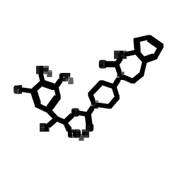 CCC(c1cc(Cl)c(N)c(C(F)(F)F)c1)[C@@H](OC(=O)N1CCC(N2CCc3ccccc3NC2=O)CC1)C(=O)O